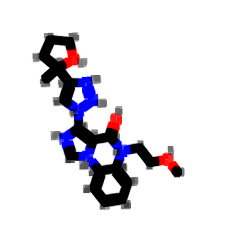 COCCn1c(=O)c2c(-n3cc(C4(C)CCCO4)nn3)ncn2c2ccccc21